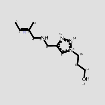 C/C=C(\C)CNCc1cn(CCCO)nn1